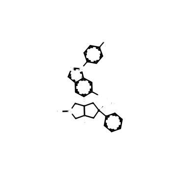 CO[C@@]1(c2ccccc2)C[C@H]2CN(C(C)=O)C[C@@]2(c2cc3cnn(-c4ccc(F)cc4)c3cc2C)C1